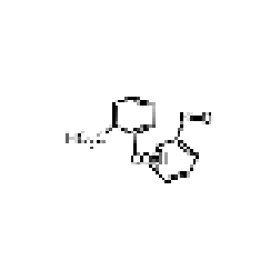 O=C(O)c1ccccc1C(=O)O.O=Pc1ccccc1